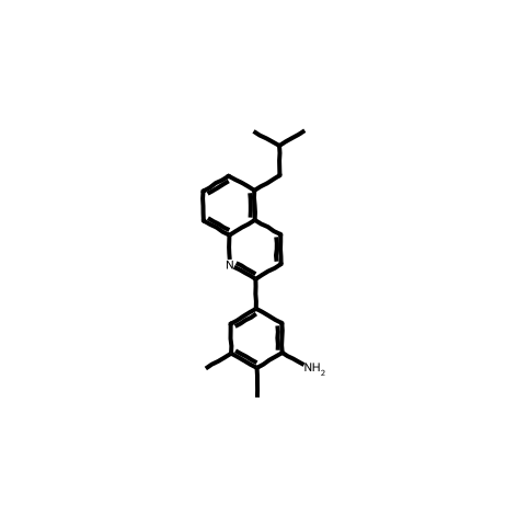 Cc1cc(-c2ccc3c(CC(C)C)cccc3n2)cc(N)c1C